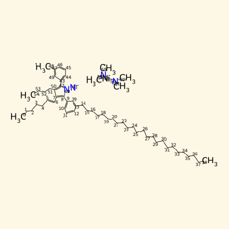 CCCCCC=CC1=C(c2cccc(CCCCCCCCCCCCCCCCCCCCCCCCC)c2)[N+](=[N-])C(c2cccc(C)c2)=C1CCCC.C[N](C)[Ni][N](C)C